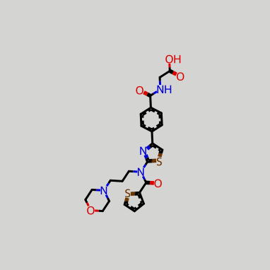 O=C(O)CNC(=O)c1ccc(-c2csc(N(CCCN3CCOCC3)C(=O)c3cccs3)n2)cc1